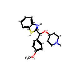 CN1CCC(OC(c2ccc(OC(F)(F)F)cc2)c2nc3ccccc3s2)CC1